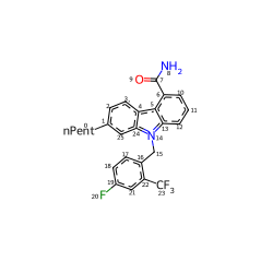 CCCCCc1c[c]c2c3c(C(N)=O)cccc3n(Cc3ccc(F)cc3C(F)(F)F)c2c1